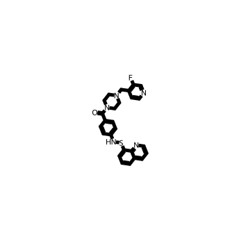 O=C(c1ccc(NSc2cccc3cccnc23)cc1)N1CCN(Cc2ccncc2F)CC1